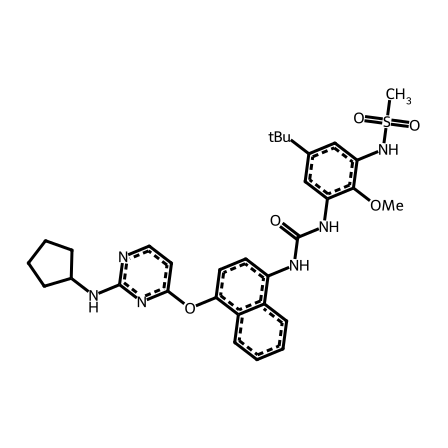 COc1c(NC(=O)Nc2ccc(Oc3ccnc(NC4CCCC4)n3)c3ccccc23)cc(C(C)(C)C)cc1NS(C)(=O)=O